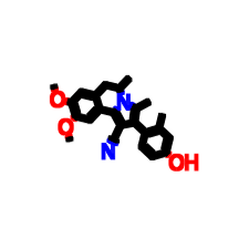 COc1cc2c(cc1OC)-c1c(C#N)c(-c3ccc(O)cc3C)c(C)n1C(C)C2